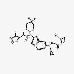 Cc1nonc1C(=O)N[C@H](c1cn2ncc([C@H](NC(=O)[C@H]3CC[C@H]3F)C3CC3)cc2n1)C1CCC(F)(F)CC1